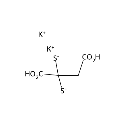 O=C(O)CC([S-])([S-])C(=O)O.[K+].[K+]